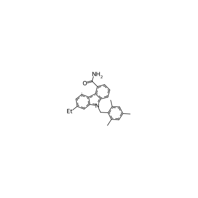 CCc1c[c]c2c3c(C(N)=O)cccc3n(Cc3c(C)cc(C)cc3C)c2c1